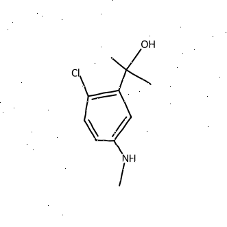 CNc1ccc(Cl)c(C(C)(C)O)c1